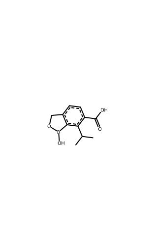 CC(C)c1c(C(=O)O)ccc2c1B(O)OC2